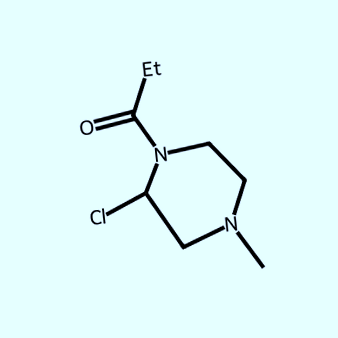 CCC(=O)N1CCN(C)CC1Cl